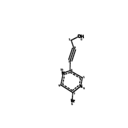 OCC#Cc1cnc(Br)cn1